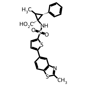 Cc1nc2cc(-c3ccc(S(=O)(=O)N[C@@]4(C(=O)O)C(C)[C@@H]4c4ccccc4)s3)ccc2s1